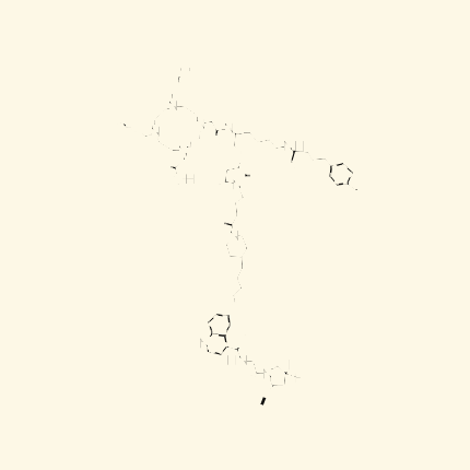 C#C[C@H]1CC(F)(F)CN1C(=O)CNC(=O)c1ccnc2ccc(OCCCCC3CCN(C(=O)CCCN4C(=O)CC(SCC(CCCCNC(=O)CCCc5ccc(I)cc5)NC(=O)CN5CCN(COC=O)CCN(COC=O)CCN(CC(=O)O)CC5)C4=O)CC3)cc12